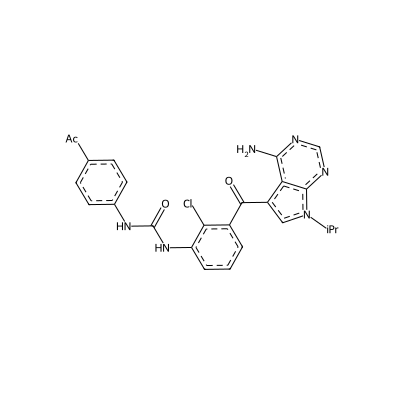 CC(=O)c1ccc(NC(=O)Nc2cccc(C(=O)c3cn(C(C)C)c4ncnc(N)c34)c2Cl)cc1